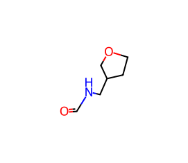 O=CNCC1CCOC1